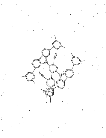 Cc1cc(C)cc(-c2ccc3c4ccc(-c5cc(C)cc(C)c5)cc4n(-c4cc(-c5ccc(C(F)(F)F)cc5C#N)c(-n5c6cc(-c7cc(C)cc(C)c7)ccc6c6ccc(-c7cc(C)cc(C)c7)cc65)cc4C#N)c3c2)c1